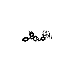 O=C1Nc2ccc(CN3CCC(CCc4ccccc4)(c4ccncc4)CC3)cc2CO1